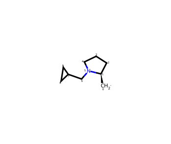 [CH2][C@@H]1CCCN1CC1CC1